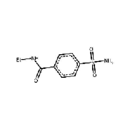 CCNC(=O)c1ccc(S(N)(=O)=O)cc1